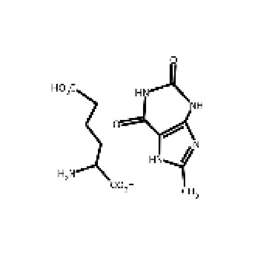 Cc1nc2[nH]c(=O)[nH]c(=O)c2[nH]1.NC(CCCC(=O)O)C(=O)O